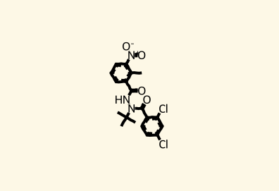 Cc1c(C(=O)NN(C(=O)c2ccc(Cl)cc2Cl)C(C)(C)C)cccc1[N+](=O)[O-]